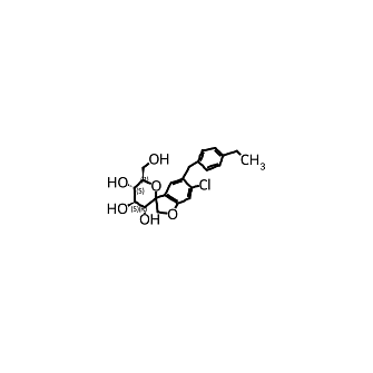 CCc1ccc(Cc2cc3c(cc2Cl)OCC32O[C@H](CO)[C@@H](O)[C@H](O)[C@H]2O)cc1